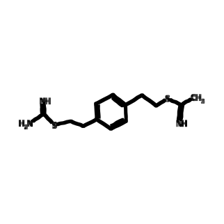 CC(=N)SCCc1ccc(CCSC(=N)N)cc1